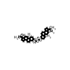 [2H]C(OC(=O)OC1CCC2(C)C(=CCC3C2CCC2(C)C(C(C)=O)CCC32)C1)OC1CCC2(C)C(=CCC3C2CCC2(C)C(C(=C)C)CCC32)C1